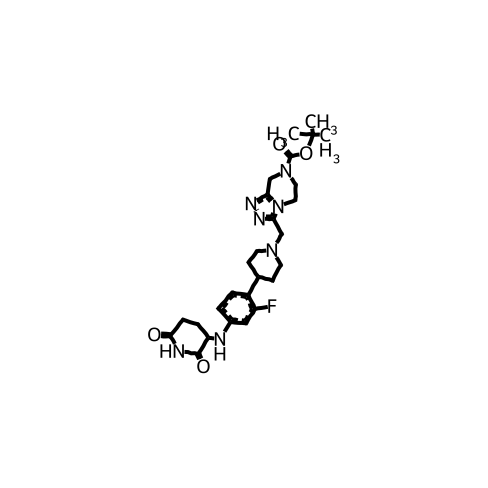 CC(C)(C)OC(=O)N1CCn2c(CN3CCC(c4ccc(NC5CCC(=O)NC5=O)cc4F)CC3)nnc2C1